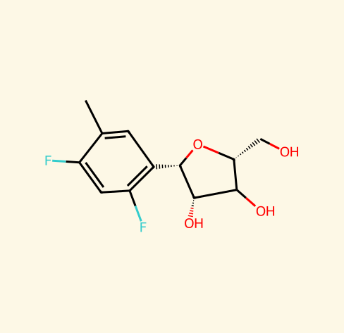 Cc1cc([C@@H]2O[C@H](CO)C(O)[C@@H]2O)c(F)cc1F